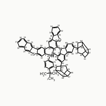 CC(C)(C)c1ccc(Nc2cc3sc4cc5ccccc5cc4c3cc2-c2cc3c(oc4ccccc43)c3c2Bc2cc(C45CC6CC7CC(C4)C5C76)cc4c5cc(C67CC8CC9CC(C6)C7C98)ccc5n-3c24)cc1